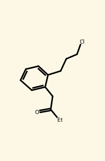 CCC(=O)Cc1ccccc1CCCCl